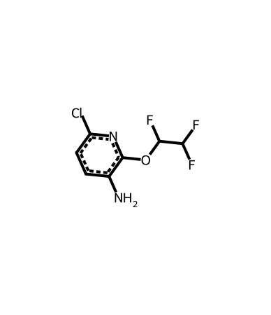 Nc1ccc(Cl)nc1OC(F)C(F)F